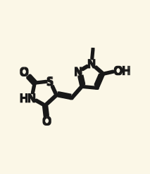 Cn1nc(/C=C2\SC(=O)NC2=O)cc1O